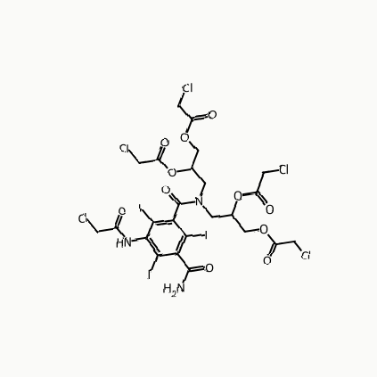 NC(=O)c1c(I)c(NC(=O)CCl)c(I)c(C(=O)N(CC(COC(=O)CCl)OC(=O)CCl)CC(COC(=O)CCl)OC(=O)CCl)c1I